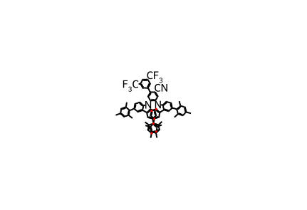 Cc1cc(C)c(-c2ccc3c(c2)c2cc(-c4c(C)cc(C)cc4C)ccc2n3-c2cc(C#N)c(-c3cc(C(F)(F)F)cc(C(F)(F)F)c3)cc2-n2c3ccc(-c4c(C)cc(C)cc4C)cc3c3cc(-c4c(C)cc(C)cc4C)ccc32)c(C)c1